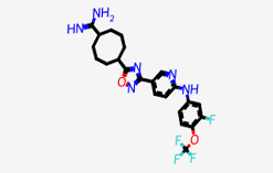 N=C(N)C1CCCC(c2nc(-c3ccc(Nc4ccc(OC(F)(F)F)c(F)c4)nc3)no2)CCC1